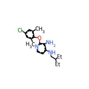 CCC(CC)CNc1ccnc(Oc2c(C)cc(Cl)cc2C)c1N